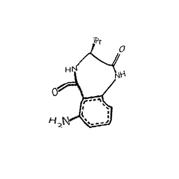 CC(C)[C@@H]1NC(=O)c2c(N)cccc2NC1=O